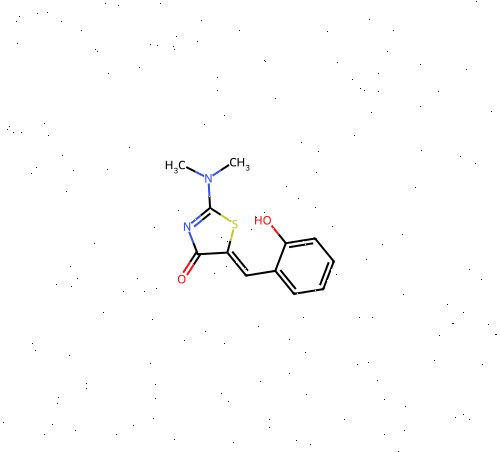 CN(C)C1=NC(=O)C(=Cc2ccccc2O)S1